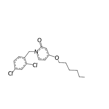 CCCCCCOc1ccn(Cc2ccc(Cl)cc2Cl)c(=O)c1